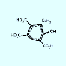 O=C(O)c1cc(C(=O)O)c(C(=O)O)cc1O.[CaH2]